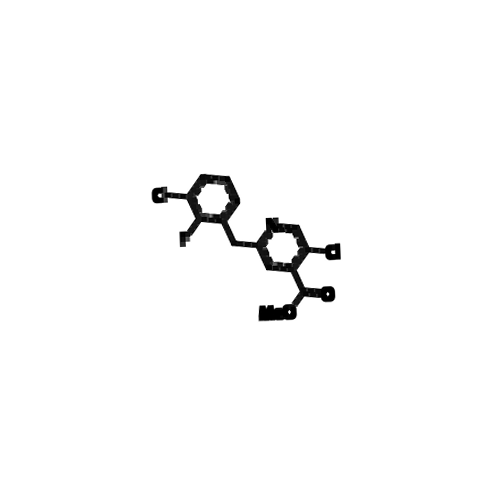 COC(=O)c1cc(Cc2cccc(Cl)c2F)ncc1Cl